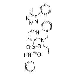 CCCN(Cc1ccc(-c2ccccc2-c2nnn[nH]2)cc1)c1ncccc1S(=O)(=O)C(=O)Nc1ccccc1